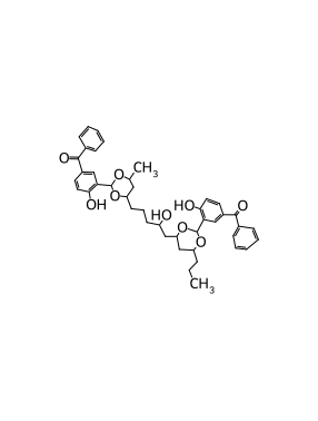 CCCC1CC(CC(O)CCCC2CC(C)OC(c3cc(C(=O)c4ccccc4)ccc3O)O2)OC(c2cc(C(=O)c3ccccc3)ccc2O)O1